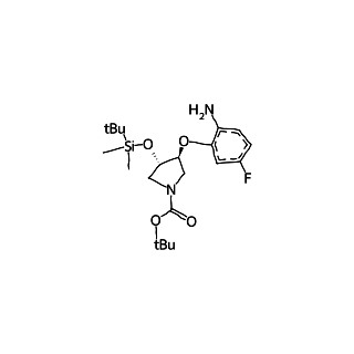 CC(C)(C)OC(=O)N1C[C@H](Oc2cc(F)ccc2N)[C@@H](O[Si](C)(C)C(C)(C)C)C1